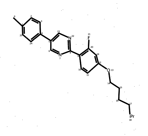 Cc1ccc(-c2cnc(-c3ccc(OCCCCC(C)C)cc3F)nc2)cc1